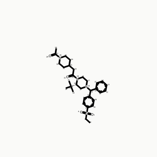 CCS(=O)(=O)c1ccc(C(c2ccccc2)N2CCN(C(=O)CC3CCN(C(C)=O)CC3)[C@@H](C(C)(C)C)C2)cc1